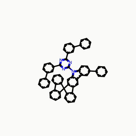 c1ccc(-c2cccc(-c3nc(-c4cccc(-c5ccccc5)c4)nc(-n4c5ccc(-c6ccccc6)cc5c5cc6c(cc54)C4(c5ccccc5-c5ccccc54)c4ccccc4-6)n3)c2)cc1